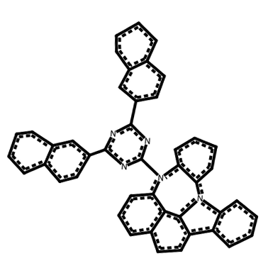 c1ccc2cc(-c3nc(-c4ccc5ccccc5c4)nc(-n4c5cccc6ccc7c8ccccc8n(c8ccccc84)c7c65)n3)ccc2c1